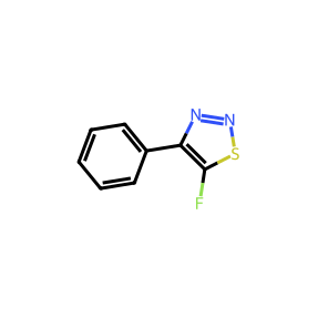 Fc1snnc1-c1ccccc1